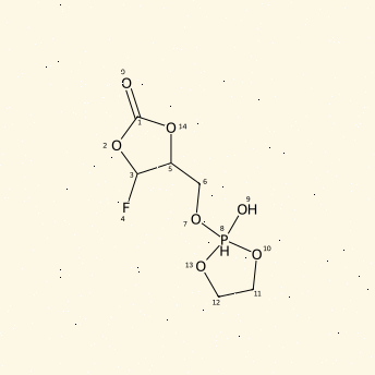 O=C1OC(F)C(CO[PH]2(O)OCCO2)O1